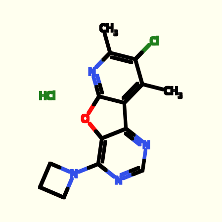 Cc1nc2oc3c(N4CCC4)ncnc3c2c(C)c1Cl.Cl